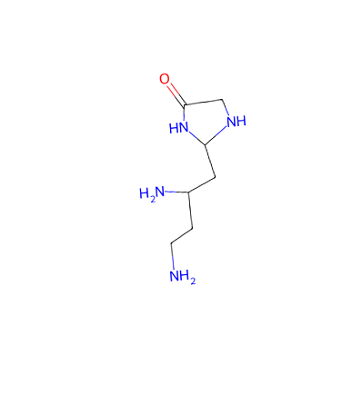 NCCC(N)CC1NCC(=O)N1